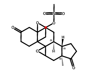 C[C@]12CC3OC34[C@@H](CC3OC35CC(=O)CCC54CCOS(C)(=O)=O)[C@@H]1CCC2=O